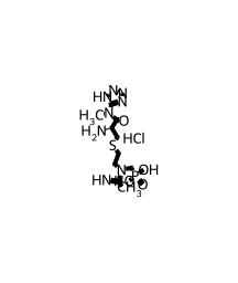 CC(=N)N(CCSC[C@H](N)C(=O)N(C)c1nnn[nH]1)CP(=O)(O)O.Cl